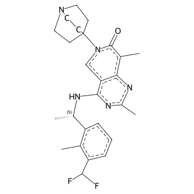 Cc1nc(N[C@@H](C)c2cccc(C(F)F)c2C)c2cn(C34CCN(CC3)CC4)c(=O)c(C)c2n1